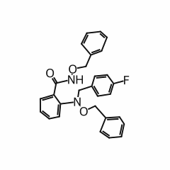 O=C(NOCc1ccccc1)c1ccccc1N(Cc1ccc(F)cc1)OCc1ccccc1